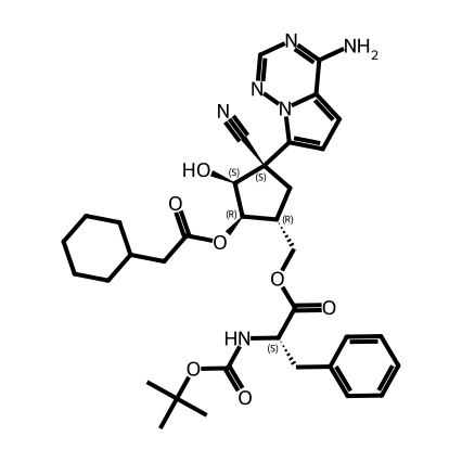 CC(C)(C)OC(=O)N[C@@H](Cc1ccccc1)C(=O)OC[C@H]1C[C@@](C#N)(c2ccc3c(N)ncnn23)[C@H](O)[C@@H]1OC(=O)CC1CCCCC1